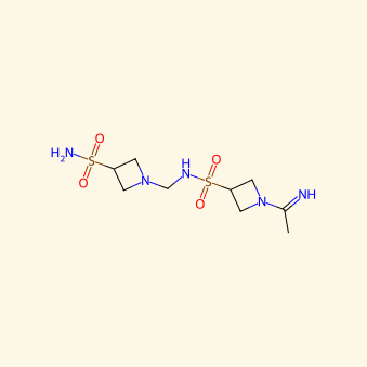 CC(=N)N1CC(S(=O)(=O)NCN2CC(S(N)(=O)=O)C2)C1